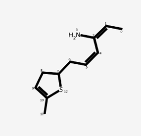 C/C=C(N)\C=C/CC1CC=C(C)S1